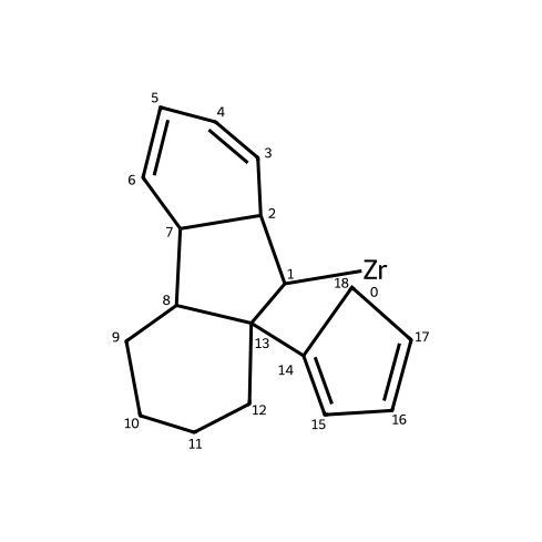 [Zr][CH]1C2C=CC=CC2C2CCCCC12C1=CC=CC1